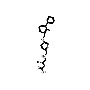 Cc1c(COc2ccc(CNC[C@@H](O)CC(=O)O)nc2)cccc1-c1ccccc1